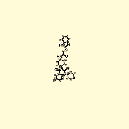 O=C(CSc1nc2ccccc2[nH]1)NC1CCC(n2c(=O)c3cc(F)cnc3n(C3CCSCC3)c2=O)CC1